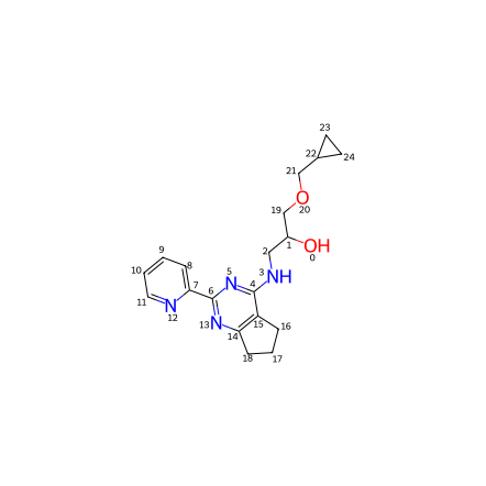 OC(CNc1nc(-c2ccccn2)nc2c1CCC2)COCC1CC1